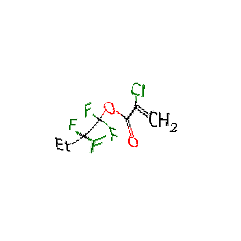 C=C(Cl)C(=O)OC(F)(F)C(F)(F)CC